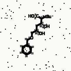 CC(C)(C)C(C(=O)O)[C@H](O)C[C@@H](O)COCc1ccccc1